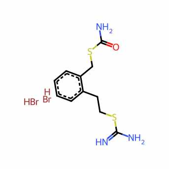 Br.Br.N=C(N)SCCc1ccccc1CSC(N)=O